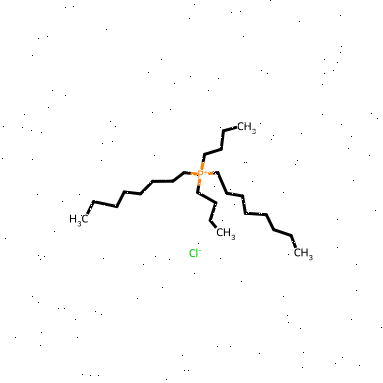 CCCCCCCC[P+](CCCC)(CCCC)CCCCCCCC.[Cl-]